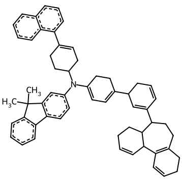 CC1(C)c2ccccc2-c2ccc(N(C3=CC=C(C4C=C(C5CCC6=C(C=CCC6)C6C=CCCC65)C=CC4)CC3)C3CC=C(c4cccc5ccccc45)CC3)cc21